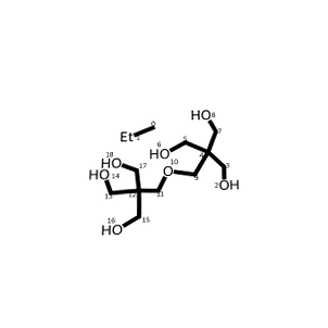 CCC.OCC(CO)(CO)COCC(CO)(CO)CO